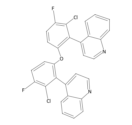 Fc1ccc(Oc2ccc(F)c(Cl)c2-c2ccnc3ccccc23)c(-c2ccnc3ccccc23)c1Cl